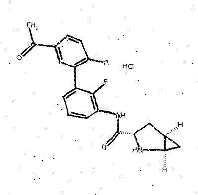 CC(=O)c1ccc(Cl)c(-c2cccc(NC(=O)[C@@H]3C[C@H]4C[C@H]4N3)c2F)c1.Cl